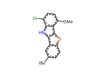 COc1ccc(Cl)c2[nH]c3c4cc(C(C)(C)C)ccc4sc3c12